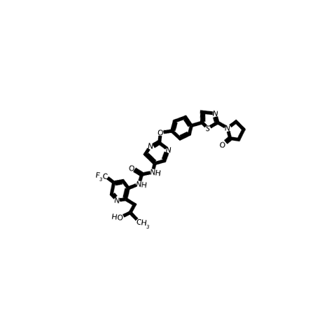 CC(O)Cc1ncc(C(F)(F)F)cc1NC(=O)Nc1cnc(Oc2ccc(-c3cnc(N4CCCC4=O)s3)cc2)nc1